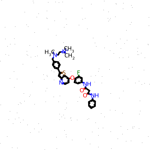 C=[N+](C)CCN(C)Cc1ccc(-c2cc3nccc(Oc4ccc(NC(=O)CC(=O)Nc5ccccc5)cc4F)c3s2)cc1